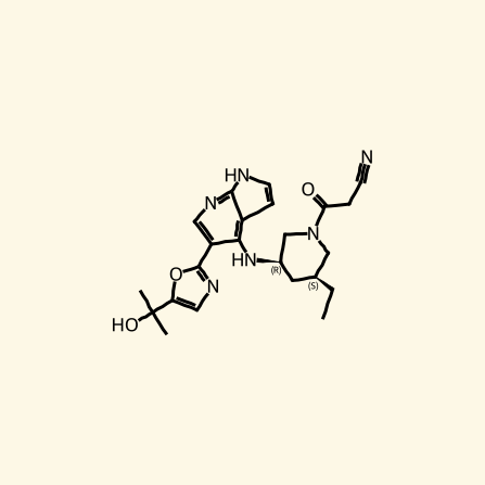 CC[C@H]1C[C@@H](Nc2c(-c3ncc(C(C)(C)O)o3)cnc3[nH]ccc23)CN(C(=O)CC#N)C1